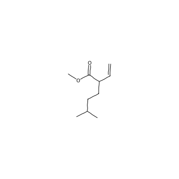 C=CC(CCC(C)C)C(=O)OC